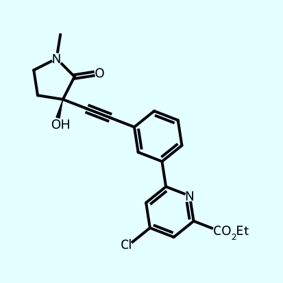 CCOC(=O)c1cc(Cl)cc(-c2cccc(C#C[C@]3(O)CCN(C)C3=O)c2)n1